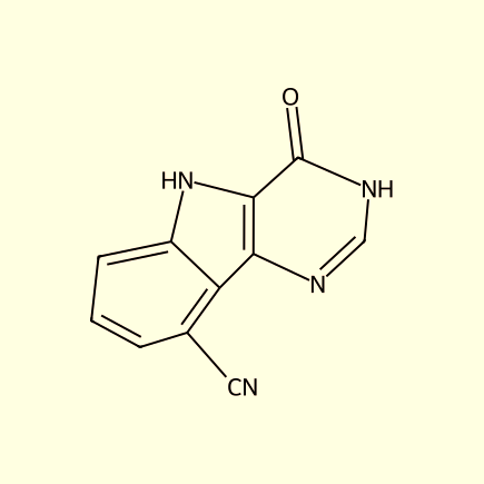 N#Cc1cccc2[nH]c3c(=O)[nH]cnc3c12